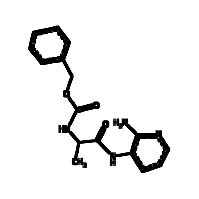 CC(NC(=O)OCc1ccccc1)C(=O)Nc1cccnc1N